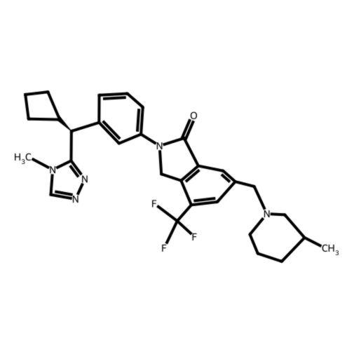 CC1CCCN(Cc2cc3c(c(C(F)(F)F)c2)CN(c2cccc([C@@H](c4nncn4C)C4CCC4)c2)C3=O)C1